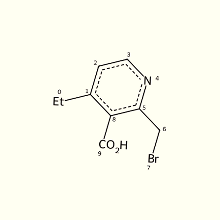 CCc1ccnc(CBr)c1C(=O)O